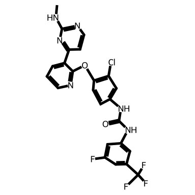 CNc1nccc(-c2cccnc2Oc2ccc(NC(=O)Nc3cc(F)cc(C(F)(F)F)c3)cc2Cl)n1